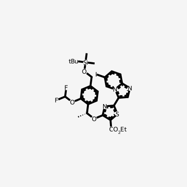 CCOC(=O)c1sc(-c2cnc3ccc(I)cn23)nc1O[C@H](C)c1ccc(CO[Si](C)(C)C(C)(C)C)cc1OC(F)F